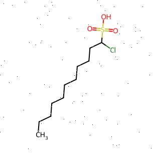 CCCCCCCCCCC(Cl)S(=O)(=O)O